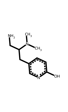 CN(C)C(CN)Cc1ccc(O)nc1